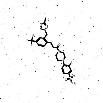 Cc1nnn(Cc2cc(C(F)(F)F)ccc2CCC(=O)N2CCN(c3ccc(S(N)(=O)=O)cc3F)CC2)n1